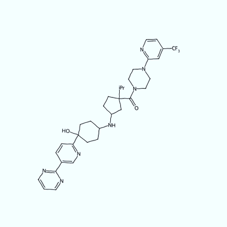 CC(C)C1(C(=O)N2CCN(c3cc(C(F)(F)F)ccn3)CC2)CCC(NC2CCC(O)(c3ccc(-c4ncccn4)cn3)CC2)C1